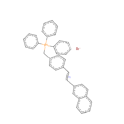 C(=C\c1ccc2ccccc2c1)/c1ccc(C[P+](c2ccccc2)(c2ccccc2)c2ccccc2)cc1.[Br-]